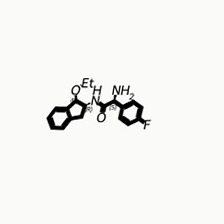 CCO[C@@H]1c2ccccc2C[C@H]1NC(=O)[C@@H](N)c1ccc(F)cc1